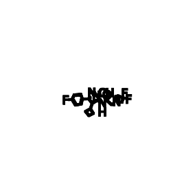 Cn1nc(-c2ccc(F)cc2)c(C2CCC2)c1NC(=O)CN1CC(F)(F)C1